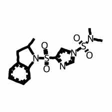 CC1Cc2ccccc2N1S(=O)(=O)c1cn(S(=O)(=O)N(C)C)cn1